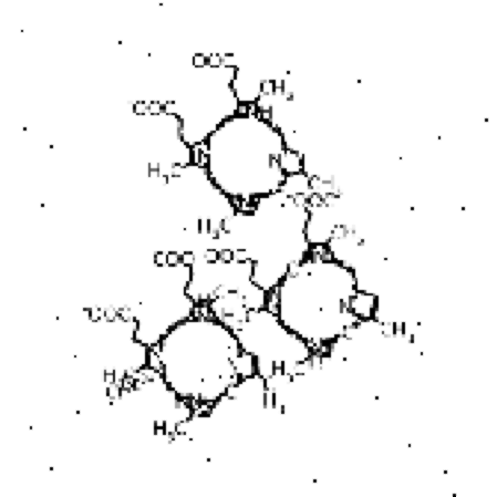 CC1=Cc2cc3[nH]c(cc4nc(cc5[nH]c(cc1n2)cc5C)C(C)=C4CCC(=O)[O-])c(CCC(=O)[O-])c3C.CC1=Cc2cc3[nH]c(cc4nc(cc5[nH]c(cc1n2)cc5C)C(C)=C4CCC(=O)[O-])c(CCC(=O)[O-])c3C.CC1=Cc2cc3[nH]c(cc4nc(cc5[nH]c(cc1n2)cc5C)C(C)=C4CCC(=O)[O-])c(CCC(=O)[O-])c3C.[Cr+3].[Cr+3]